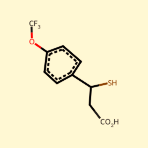 O=C(O)CC(S)c1ccc(OC(F)(F)F)cc1